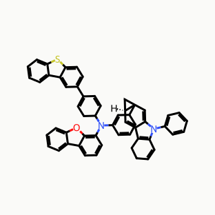 C1=Cc2c(c3c(n2-c2ccccc2)=CC2(C4C=C(N(c5cccc6c5oc5ccccc56)C5C=CC(c6ccc7sc8ccccc8c7c6)=CC5)C=CC4)C[C@@H]2C=3)CC1